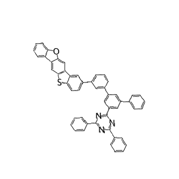 c1ccc(-c2cc(-c3cccc(-c4ccc5sc6cc7c(cc6c5c4)oc4ccccc47)c3)cc(-c3nc(-c4ccccc4)nc(-c4ccccc4)n3)c2)cc1